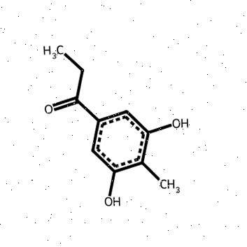 CCC(=O)c1cc(O)c(C)c(O)c1